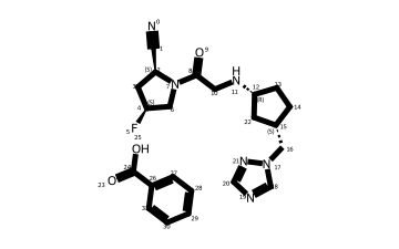 N#C[C@@H]1C[C@H](F)CN1C(=O)CN[C@@H]1CC[C@H](Cn2cncn2)C1.O=C(O)c1ccccc1